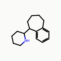 c1ccc2c(c1)CCCCC2C1CCCCN1